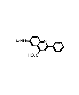 CC(=O)Nc1ccc2nc(-c3ccccc3)cc(C(=O)O)c2c1